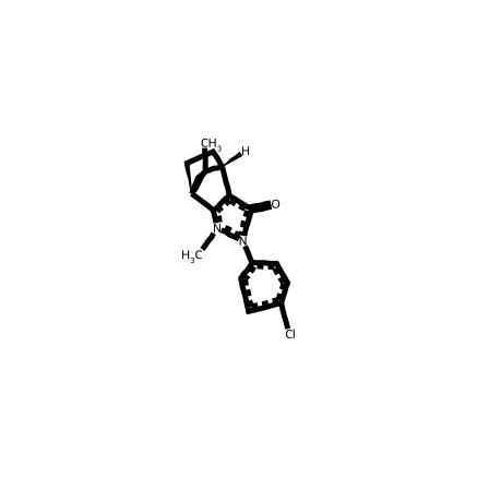 Cn1c2c(c(=O)n1-c1ccc(Cl)cc1)[C@H]1CC[C@@]23CC13C